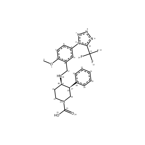 COc1ccc(-n2nnnc2C(F)(F)F)cc1CN[C@@H]1CCN(C(=O)O)C[C@@H]1c1ccccc1